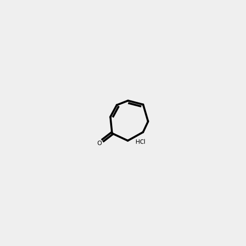 Cl.O=C1C=CC=CCCC1